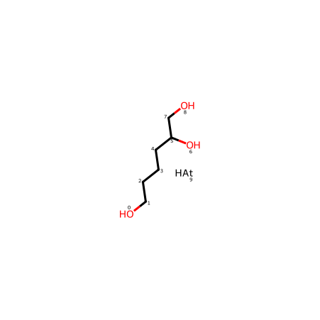 OCCCCC(O)CO.[AtH]